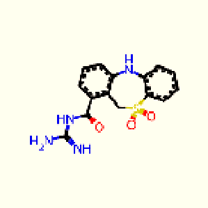 N=C(N)NC(=O)c1cccc2c1CS(=O)(=O)c1ccccc1N2